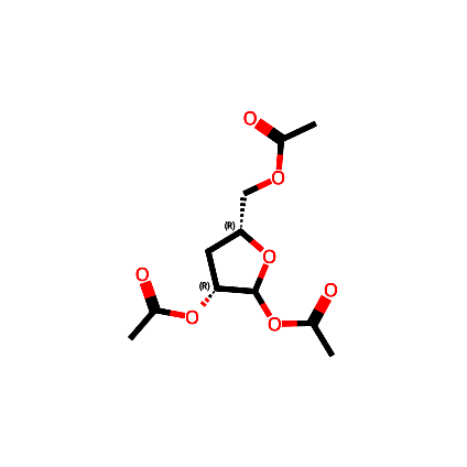 CC(=O)OC[C@H]1C[C@@H](OC(C)=O)C(OC(C)=O)O1